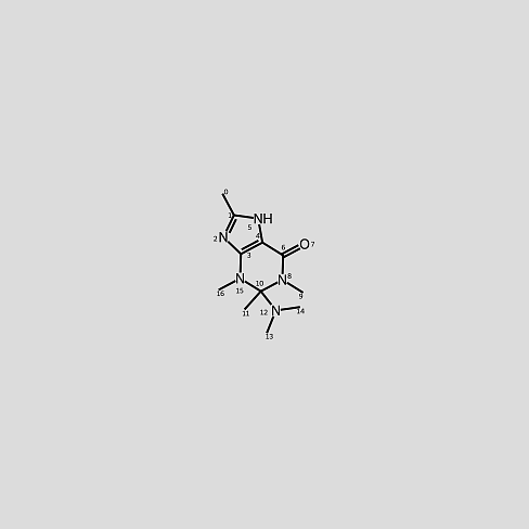 Cc1nc2c([nH]1)C(=O)N(C)C(C)(N(C)C)N2C